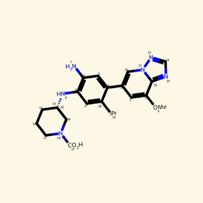 COc1cc(-c2cc(N)c(N[C@H]3CCCN(C(=O)O)C3)cc2C(C)C)cn2ncnc12